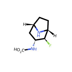 O=C(O)N[C@@H]1C[C@@H]2CC[C@@H](N2)[C@H]1F